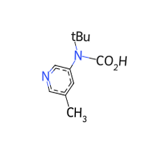 Cc1cncc(N(C(=O)O)C(C)(C)C)c1